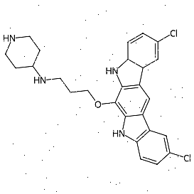 ClC1=CC2c3cc4c([nH]c5ccc(Cl)cc54)c(OCCCNC4CCNCC4)c3NC2C=C1